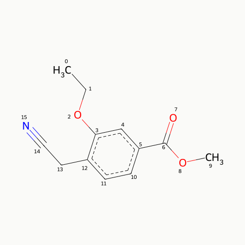 CCOc1cc(C(=O)OC)ccc1CC#N